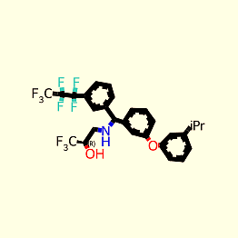 CC(C)c1cccc(Oc2cccc(C(NC[C@@H](O)C(F)(F)F)c3cccc(C(F)(F)C(F)(F)C(F)(F)F)c3)c2)c1